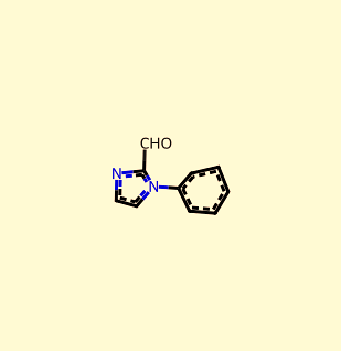 O=Cc1nccn1-c1ccccc1